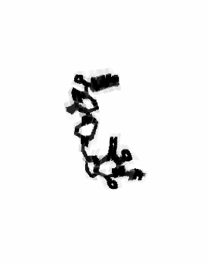 CNC(=O)c1ccc(N2CCN(Cc3ccc4c(=O)n(C(C)C)c(=O)[nH]c4c3)CC2)c(C)n1